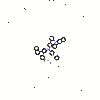 CC1C=CC=C(c2cc(N(c3ccc(-c4ccccc4)cc3)c3ccc(-c4ccccc4-n4c5ccccc5c5cc6ccccc6cc54)cc3)ccc2-c2cccc3ccccc23)C1